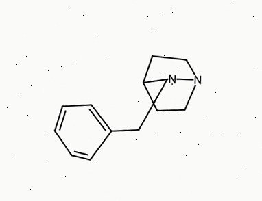 c1ccc(CC2[N]N3CCC2CC3)cc1